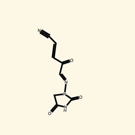 N#C/C=C/C(=O)/C=N/N1CC(=O)NC1=O